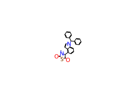 CN1C(=O)SC(=O)C1c1cccc2c1ccn2C(c1ccccc1)c1ccccc1